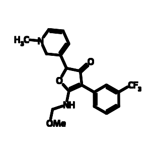 COCNC1=C(c2cccc(C(F)(F)F)c2)C(=O)C(C2=CC=CN(C)C2)O1